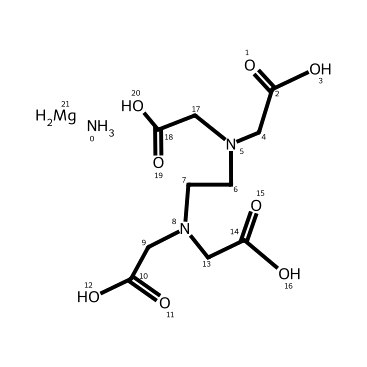 N.O=C(O)CN(CCN(CC(=O)O)CC(=O)O)CC(=O)O.[MgH2]